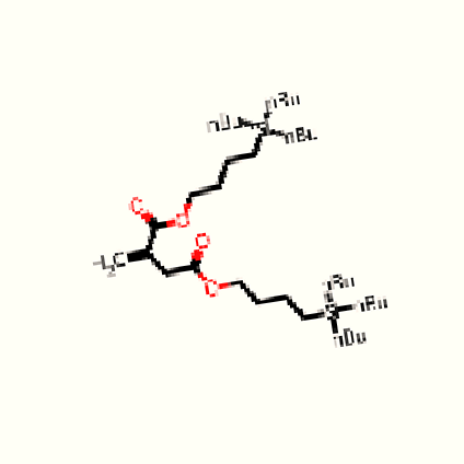 C=C(CC(=O)OCCCC[Si](CCCC)(CCCC)CCCC)C(=O)OCCCC[Si](CCCC)(CCCC)CCCC